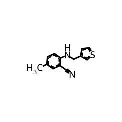 Cc1ccc(NCc2ccsc2)c(C#N)c1